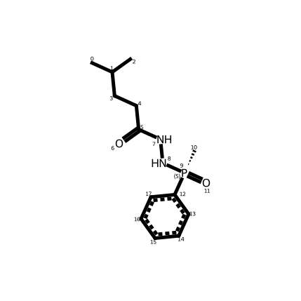 CC(C)CCC(=O)NN[P@@](C)(=O)c1ccccc1